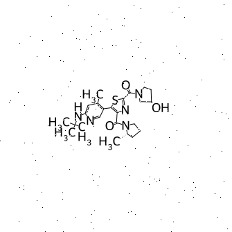 Cc1cc(NC(C)(C)C)ncc1-c1sc(C(=O)N2CC[C@@H](O)C2)nc1C(=O)N1CCC[C@@H]1C